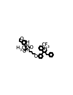 CC1(c2ccc3c(c2)CCO3)NC(=O)N(CCCCOc2cccc(-c3c(Cc4ccccc4)cnc4c(C(F)(F)F)cccc34)c2)C1=O